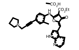 CC(=O)O.CCOC(=O)C1=C(Nc2ccc(C#CCN3CCCC3)cc2C)OC(=Cc2c[nH]c3ncccc23)C1=O